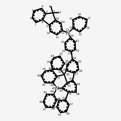 CC1(C)c2ccccc2-c2ccc(N(c3ccccc3)c3ccc(-c4ccc5c(c4)C4(c6ccccc6)c6ccccc6N(c6ccccc6)c6c(-c7ccccc7)ccc-5c64)cc3)cc21